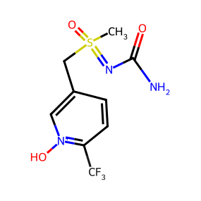 CS(=O)(Cc1ccc(C(F)(F)F)[n+](O)c1)=NC(N)=O